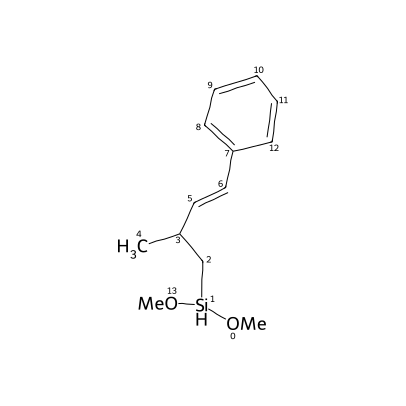 CO[SiH](CC(C)C=Cc1ccccc1)OC